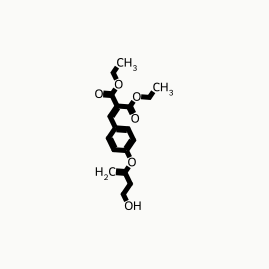 C=C(CCO)Oc1ccc(C=C(C(=O)OCC)C(=O)OCC)cc1